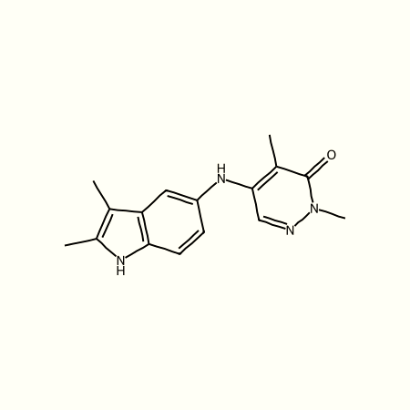 Cc1[nH]c2ccc(Nc3cnn(C)c(=O)c3C)cc2c1C